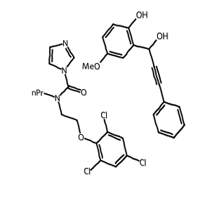 CCCN(CCOc1c(Cl)cc(Cl)cc1Cl)C(=O)n1ccnc1.COc1ccc(O)c(C(O)C#Cc2ccccc2)c1